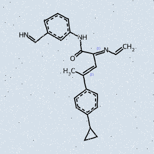 C=C/N=C(\C=C(/C)c1ccc(C2CC2)cc1)C(=O)Nc1cccc(C=N)c1